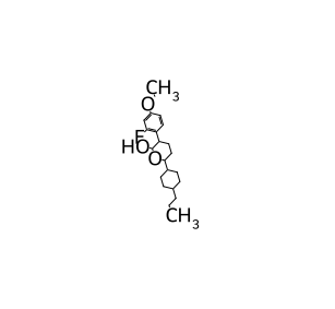 CCCC1CCC(C2CCC(c3ccc(OCC)cc3F)C(O)O2)CC1